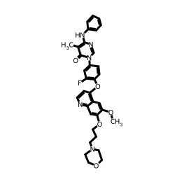 COc1cc2c(Oc3ccc(-n4cnc(Nc5ccccc5)c(C)c4=O)cc3F)ccnc2cc1OCCCN1CCOCC1